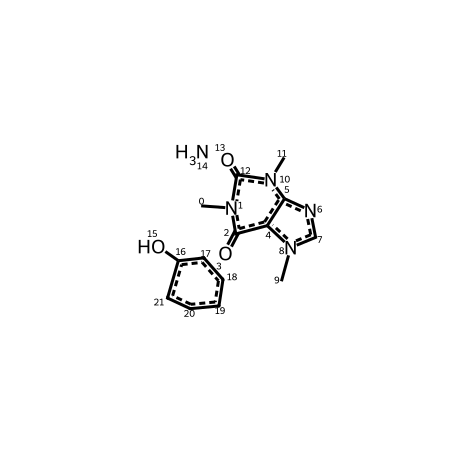 Cn1c(=O)c2c(ncn2C)n(C)c1=O.N.Oc1ccccc1